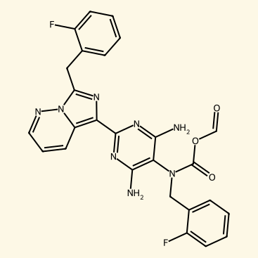 Nc1nc(-c2nc(Cc3ccccc3F)n3ncccc23)nc(N)c1N(Cc1ccccc1F)C(=O)OC=O